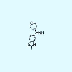 Cc1nc2cc(C(=N)N3CCOCC3)ccc2s1